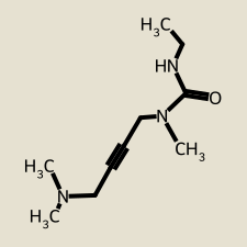 CCNC(=O)N(C)CC#CCN(C)C